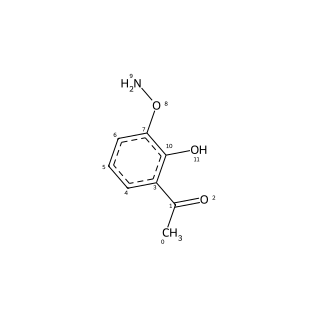 CC(=O)c1cccc(ON)c1O